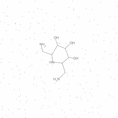 NCC1NC(CN)C(O)C(O)C1O